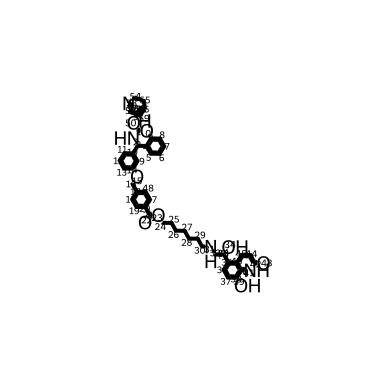 O=C(NC(c1ccccc1)c1cccc(OCc2ccc(C(=O)OCCCCCCCNC[C@H](O)c3ccc(O)c4[nH]c(=O)ccc34)cc2)c1)O[C@H]1CN2CCC1CC2